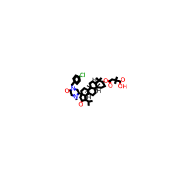 CC(C)C1=C2[C@H]3CC[C@@H]4[C@@]5(C)CC[C@H](OC(=O)CC(C)(C)C(=O)O)C(C)(C)[C@@H]5CC[C@@]4(C)[C@]3(C)CC[C@@]2(C2CN(Cc3ccc(Cl)cc3)C(=O)CN2C)CC1=O